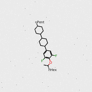 CCCCCCC(C)Oc1c(F)cc(C2CCC(C3CCC(CCCCC)CC3)CC2)cc1F